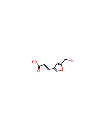 O=C(O)/C=C/c1coc(CBr)c1